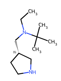 CCN(C[C@H]1CCNC1)C(C)(C)C